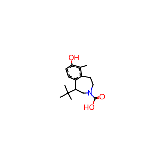 Cc1c(O)ccc2c1CCN(C(=O)O)CC2C(C)(C)C